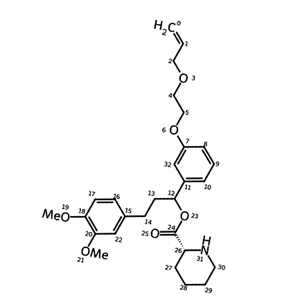 C=CCOCCOc1cccc(C(CCc2ccc(OC)c(OC)c2)OC(=O)[C@H]2CCCCN2)c1